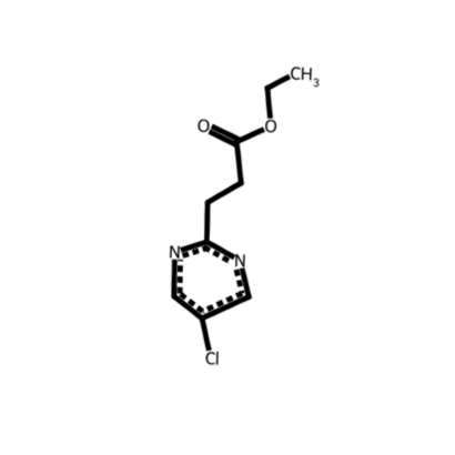 CCOC(=O)CCc1ncc(Cl)cn1